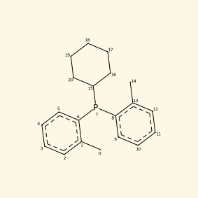 Cc1ccccc1P(c1ccccc1C)C1CCCCC1